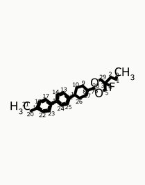 CCCC1(F)COC(C2CCC(c3ccc(-c4ccc(CC)cc4)cc3)CC2)OC1